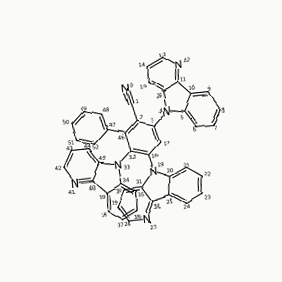 N#Cc1c(-n2c3ccccc3c3ncccc32)cc(-n2c3ccccc3c3ncccc32)c(-n2c3ccccc3c3ncccc32)c1-c1ccccc1